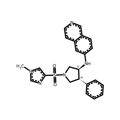 Cn1cnc(S(=O)(=O)N2C[C@@H](Nc3ccc4cnccc4c3)[C@H](c3ccccc3)C2)c1